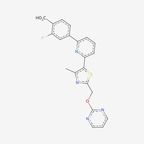 Cc1nc(COc2ncccn2)sc1-c1cccc(-c2ccc(C(=O)O)c(F)c2)n1